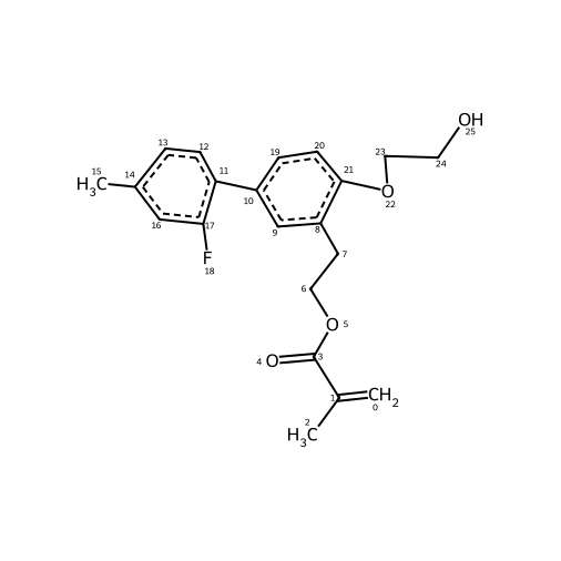 C=C(C)C(=O)OCCc1cc(-c2ccc(C)cc2F)ccc1OCCO